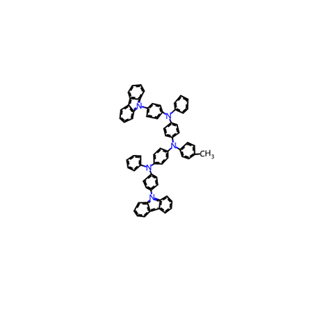 Cc1ccc(N(c2ccc(N(c3ccccc3)c3ccc(-n4c5ccccc5c5ccccc54)cc3)cc2)c2ccc(N(c3ccccc3)c3ccc(-n4c5ccccc5c5ccccc54)cc3)cc2)cc1